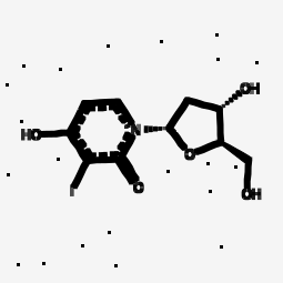 O=c1c(I)c(O)ccn1[C@@H]1C[C@H](O)[C@@H](CO)O1